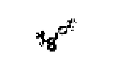 CC(C)(C)OC(=O)N1CCN(CCn2cc(C(=O)C3C(C)(C)C3(C)C)c3ccccc32)CC1